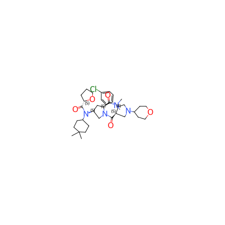 CN(C)C(=O)[C@@H]1C[C@H](N(C(=O)[C@@H]2CCCO2)C2CCC(C)(C)CC2)CN1C(=O)[C@@H]1CN(C2CCOCC2)C[C@H]1c1ccc(Cl)cc1